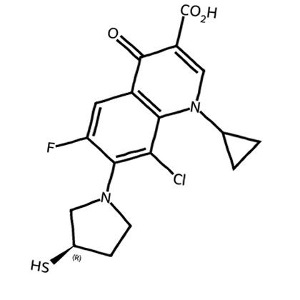 O=C(O)c1cn(C2CC2)c2c(Cl)c(N3CC[C@@H](S)C3)c(F)cc2c1=O